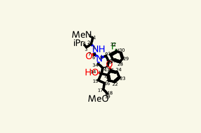 CNCC(CC(C)C)NC(=O)N1CCC[C@@H]([C@@](O)(CCCCOC)c2ccccc2Oc2cccc(F)c2)C1